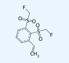 C=Cc1cccc(S(=O)(=O)CF)c1S(=O)(=O)CF